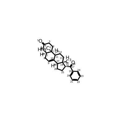 C[C@]12CCC(=O)N[C@@H]1CC=C1[C@@H]2CC[C@]2(C)[C@@H](C(=O)c3ccccc3)CC[C@@H]12